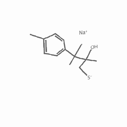 Cc1ccc(C(C)(C)C(C)(O)C[S-])cc1.[Na+]